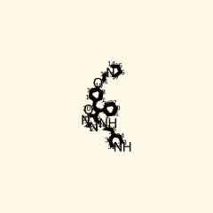 c1ccc(-c2c(-c3ccc(OCCN4CCCC4)cc3)oc3ncnc(NCCC4CCNCC4)c23)cc1